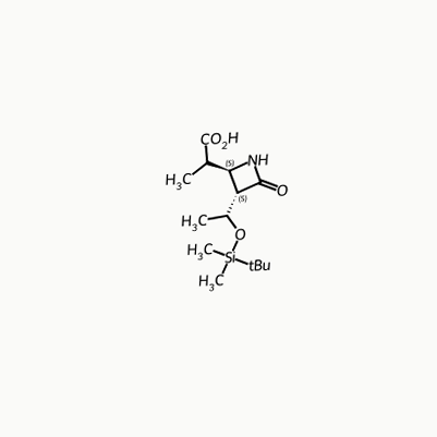 CC(C(=O)O)[C@H]1NC(=O)[C@@H]1C(C)O[Si](C)(C)C(C)(C)C